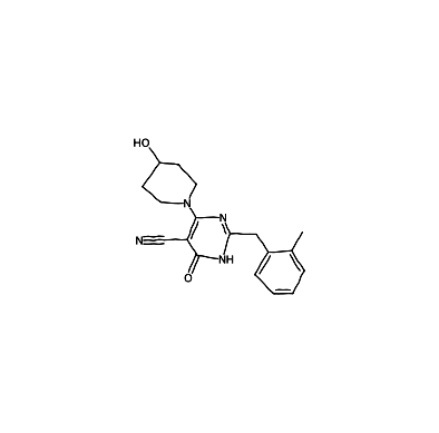 Cc1ccccc1Cc1nc(N2CCC(O)CC2)c(C#N)c(=O)[nH]1